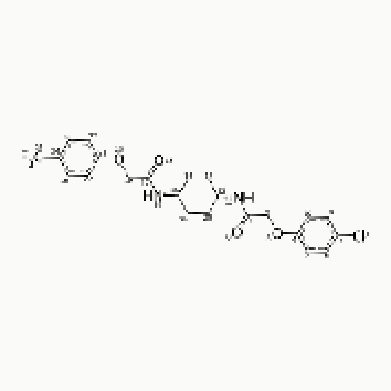 O=C(COc1ccc(Cl)cc1)N[C@H]1CC[C@H](NC(=O)COc2ccc(C(F)(F)F)cc2)CC1